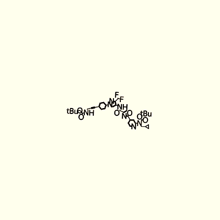 CC(C)(C)OC(=O)NCC#Cc1ccc(-n2cc(NC(=O)c3coc(-c4ccnc(N(CC5CC5)C(=O)OC(C)(C)C)c4)n3)c(C(F)F)n2)cc1